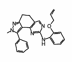 C=CCOc1ccccc1Nc1ncc2c(n1)-c1c(nn(C)c1-c1ccccc1)CC2